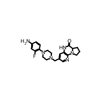 Nc1ccc(N2CCN(Cc3cnc4c(c3)NC(=O)C3CCCN43)CC2)c(F)c1